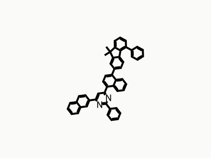 CC1(C)c2cc(-c3ccc(-c4cc(-c5ccc6ccccc6c5)nc(-c5ccccc5)n4)c4ccccc34)ccc2-c2c(-c3ccccc3)cccc21